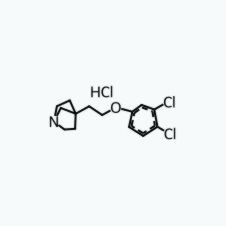 Cl.Clc1ccc(OCCC23CCN(CC2)C3)cc1Cl